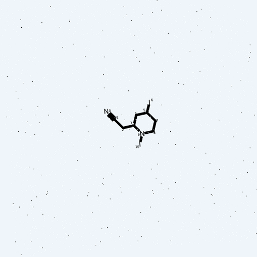 N#CCC1CC(I)CCN1I